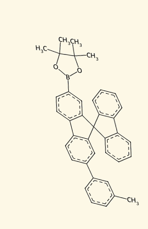 Cc1cccc(-c2ccc3c(c2)C2(c4ccccc4-c4ccccc42)c2cc(B4OC(C)(C)C(C)(C)O4)ccc2-3)c1